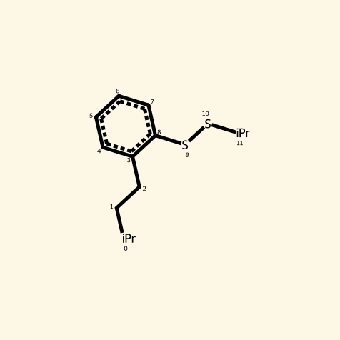 CC(C)CCc1ccccc1SSC(C)C